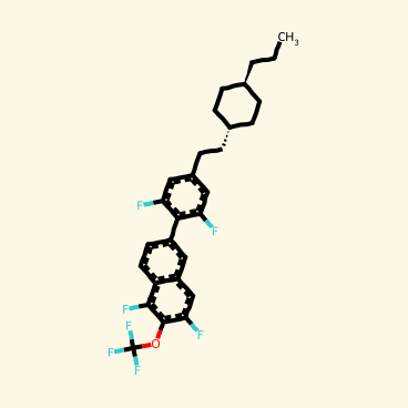 CCC[C@H]1CC[C@H](CCc2cc(F)c(-c3ccc4c(F)c(OC(F)(F)F)c(F)cc4c3)c(F)c2)CC1